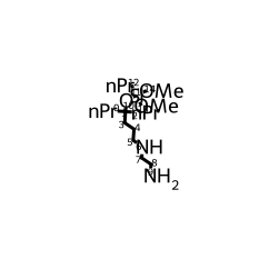 CCCC(CCC)(CCCNCCN)O[Si](CCC)(OC)OC